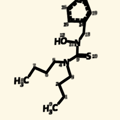 CCCCN(CCCC)C(=S)N(O)Cc1ccccc1